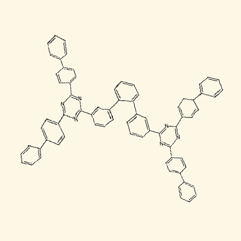 C1=CC(c2ccccc2)CC=C1c1nc(-c2ccc(-c3ccccc3)cc2)nc(-c2cccc(-c3ccccc3-c3cccc(-c4nc(-c5ccc(-c6ccccc6)cc5)nc(-c5ccc(-c6ccccc6)cc5)n4)c3)c2)n1